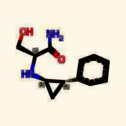 NC(=O)[C@H](CO)N[C@@H]1C[C@H]1c1ccccc1